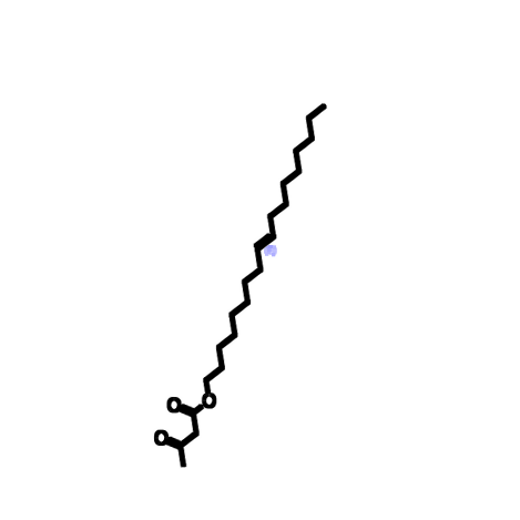 CCCCCCCC/C=C/CCCCCCCCOC(=O)CC(C)=O